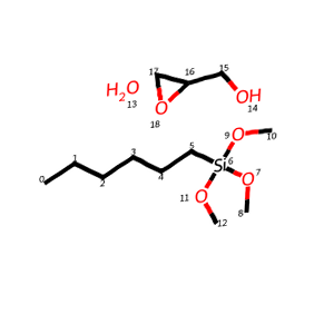 CCCCCC[Si](OC)(OC)OC.O.OCC1CO1